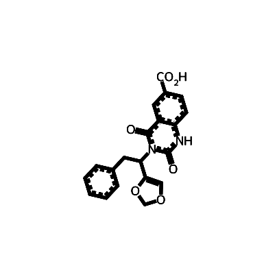 O=C(O)c1ccc2[nH]c(=O)n(C(Cc3ccccc3)C3=COCO3)c(=O)c2c1